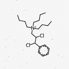 CCCC[N+](CCCC)(CCCC)CC(Cl)C(Cl)c1ccccc1